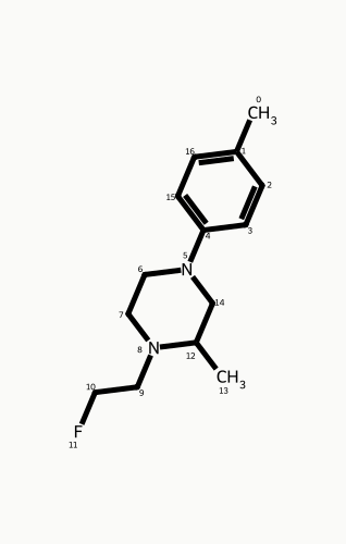 Cc1ccc(N2CCN(CCF)C(C)C2)cc1